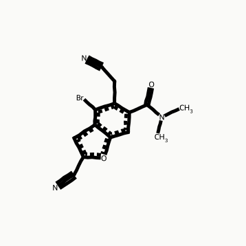 CN(C)C(=O)c1cc2oc(C#N)cc2c(Br)c1CC#N